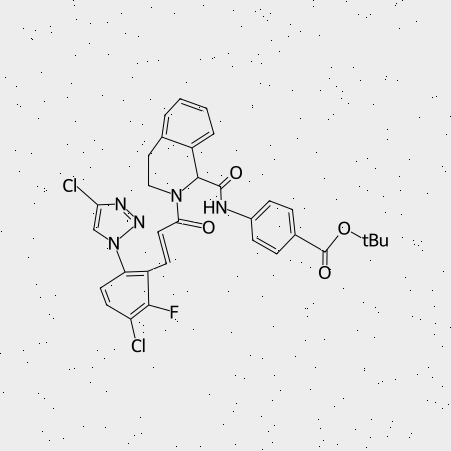 CC(C)(C)OC(=O)c1ccc(NC(=O)C2c3ccccc3CCN2C(=O)C=Cc2c(-n3cc(Cl)nn3)ccc(Cl)c2F)cc1